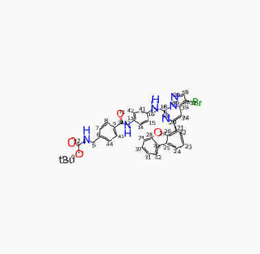 CC(C)(C)OC(=O)NCc1ccc(C(=O)Nc2ccc(Nc3nc(-c4cccc5c4oc4ccccc45)cc4c(Br)cnn34)cc2)cc1